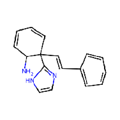 NC1C=CC=CC1(C=Cc1ccccc1)c1ncc[nH]1